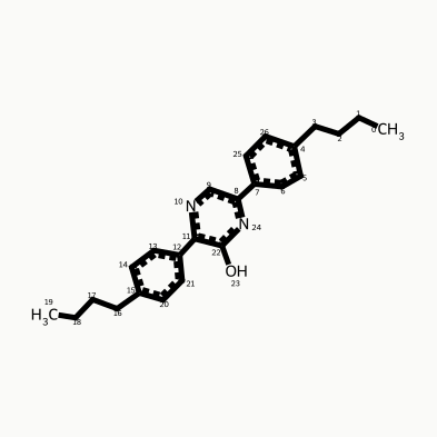 CCCCc1ccc(-c2cnc(-c3ccc(CCCC)cc3)c(O)n2)cc1